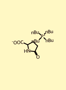 CCCC[P+](CCCC)(CCCC)CCCC.O=C1CCC(C(=O)[O-])N1